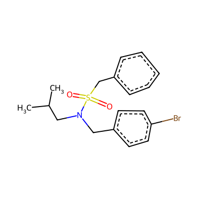 CC(C)CN(Cc1ccc(Br)cc1)S(=O)(=O)Cc1ccccc1